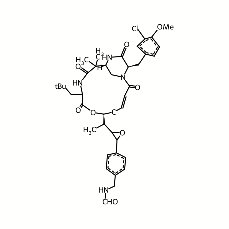 COc1ccc(C[C@@H]2C(=O)N[C@H]3CN2C(=O)/C=C/C[C@@H](C(C)C2OC2c2ccc(CNC=O)cc2)OC(=O)C(CC(C)(C)C)NC(=O)C3(C)C)cc1Cl